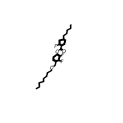 CCCCCCCCOCc1ccc(OC(=O)c2ccc(CCCCC)cc2F)c(F)c1F